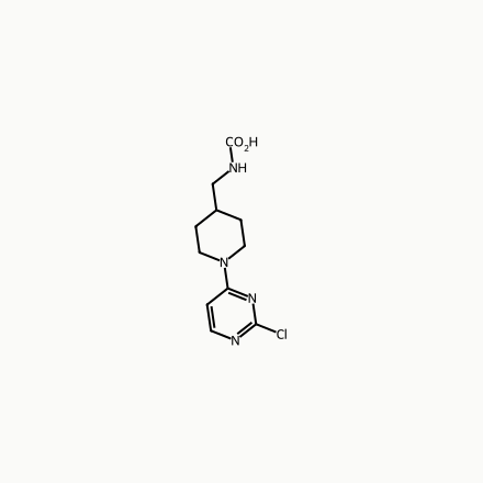 O=C(O)NCC1CCN(c2ccnc(Cl)n2)CC1